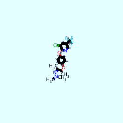 C/C(=N/N(C)C)C(C)Oc1ccc(Oc2ncc(C(F)(F)F)cc2Cl)cc1